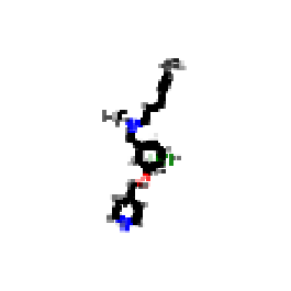 CN(CC=CC#CC(C)(C)C)Cc1cccc(OCc2ccncc2)c1.Cl